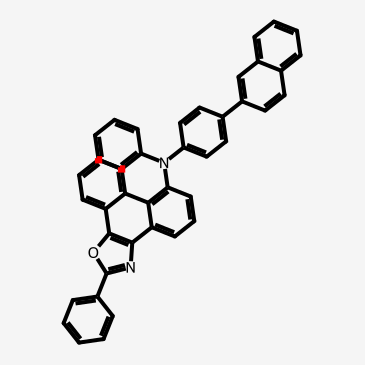 c1ccc(-c2nc3c4cccc(N(c5ccccc5)c5ccc(-c6ccc7ccccc7c6)cc5)c4c4ccccc4c3o2)cc1